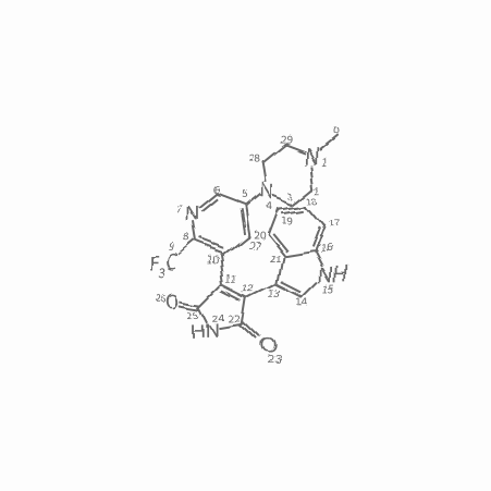 CN1CCN(c2cnc(C(F)(F)F)c(C3=C(c4c[nH]c5ccccc45)C(=O)NC3=O)c2)CC1